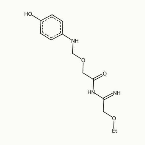 CCOCC(=N)NC(=O)COCNc1ccc(O)cc1